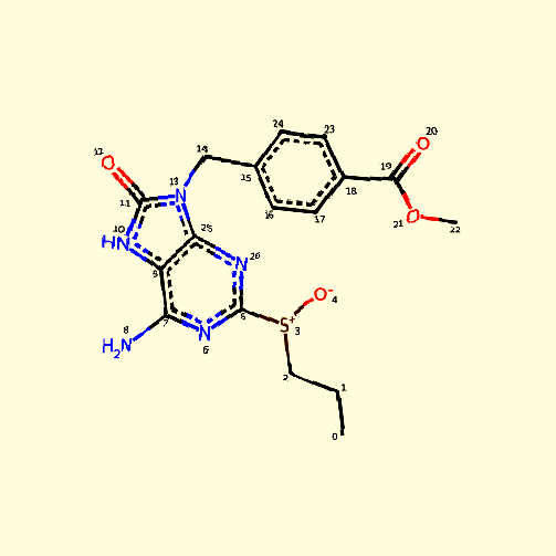 CCC[S+]([O-])c1nc(N)c2[nH]c(=O)n(Cc3ccc(C(=O)OC)cc3)c2n1